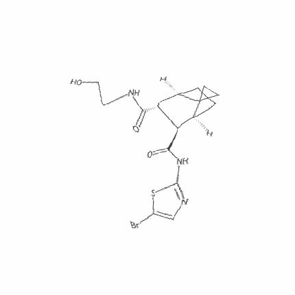 O=C(NCCO)[C@H]1[C@H](C(=O)Nc2ncc(Br)s2)[C@@H]2CC[C@H]1C21CC1